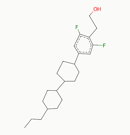 CCCC1CCC(C2CCC(c3cc(F)c(CCO)c(F)c3)CC2)CC1